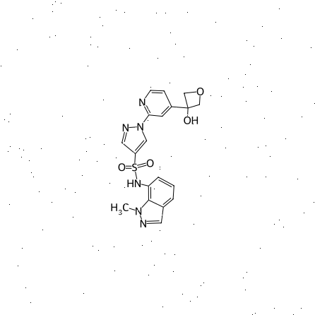 Cn1ncc2cccc(NS(=O)(=O)c3cnn(-c4cc(C5(O)COC5)ccn4)c3)c21